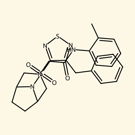 Cc1ccccc1NC(=O)CN1CC2CCC(C1)N2S(=O)(=O)c1nsnc1Cc1ccccc1